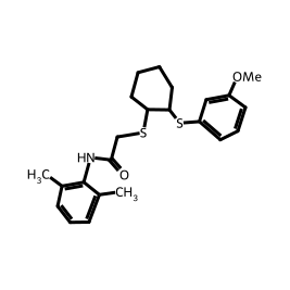 COc1cccc(SC2CCCCC2SCC(=O)Nc2c(C)cccc2C)c1